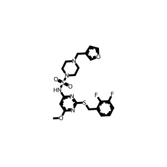 COc1cc(NS(=O)(=O)N2CCN(Cc3ccoc3)CC2)nc(SCc2cccc(F)c2F)n1